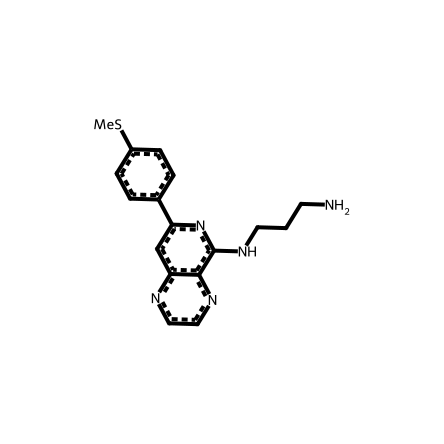 CSc1ccc(-c2cc3nccnc3c(NCCCN)n2)cc1